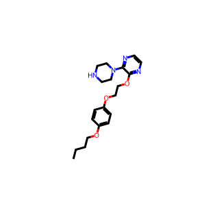 CCCCOc1ccc(OCCOc2nccnc2N2CCNCC2)cc1